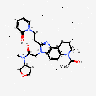 COC(=O)N1c2ccc3c(nc(CCn4ccccc4=O)n3CC(=O)N(C)[C@H]3CCOC3)c2CC[C@@H]1C